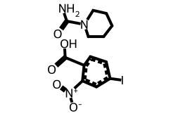 NC(=O)N1CCCCC1.O=C(O)c1ccc(I)cc1[N+](=O)[O-]